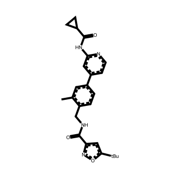 Cc1cc(-c2ccnc(NC(=O)C3CC3)c2)ccc1CNC(=O)c1cc(C(C)(C)C)on1